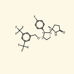 C[C@@]1([C@@H]2CC[C@H](OCc3cc(C(F)(F)F)cc(C(F)(F)F)c3)[C@H]2c2ccc(F)cc2)CCC(=O)N1